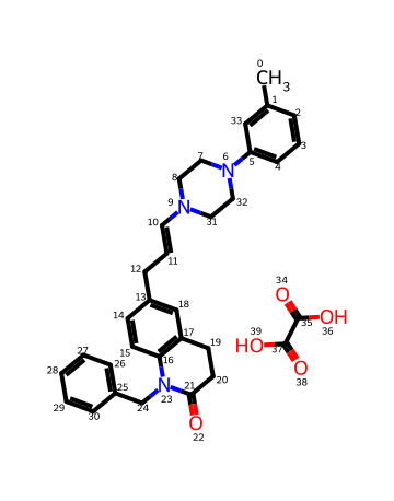 Cc1cccc(N2CCN(/C=C/Cc3ccc4c(c3)CCC(=O)N4Cc3ccccc3)CC2)c1.O=C(O)C(=O)O